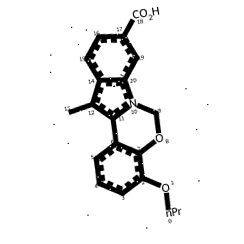 CCCOc1cccc2c1OCn1c-2c(C)c2ccc(C(=O)O)cc21